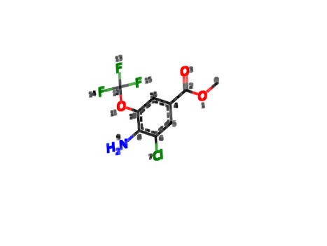 COC(=O)c1cc(Cl)c(N)c(OC(F)(F)F)c1